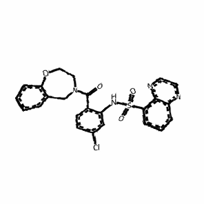 O=C(c1ccc(Cl)cc1NS(=O)(=O)c1cccc2nccnc12)N1CCOc2ccccc2C1